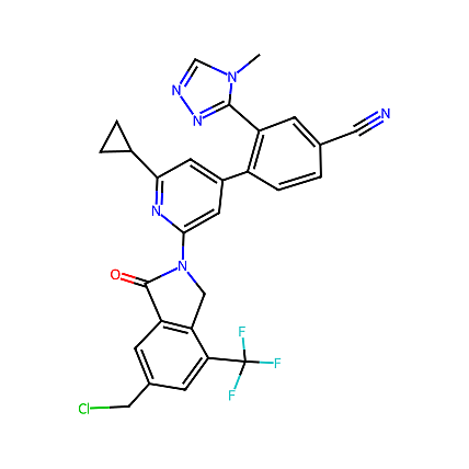 Cn1cnnc1-c1cc(C#N)ccc1-c1cc(C2CC2)nc(N2Cc3c(cc(CCl)cc3C(F)(F)F)C2=O)c1